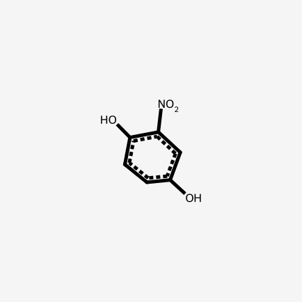 O=[N+]([O-])c1cc(O)ccc1O